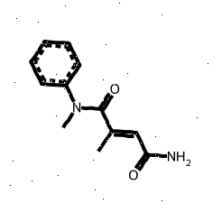 C/C(=C\C(N)=O)C(=O)N(C)c1ccccc1